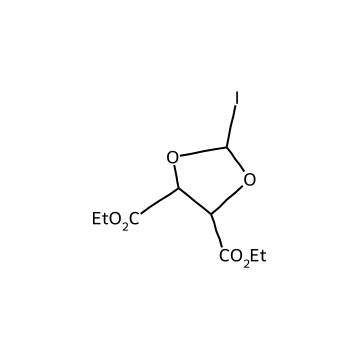 CCOC(=O)C1OC(I)OC1C(=O)OCC